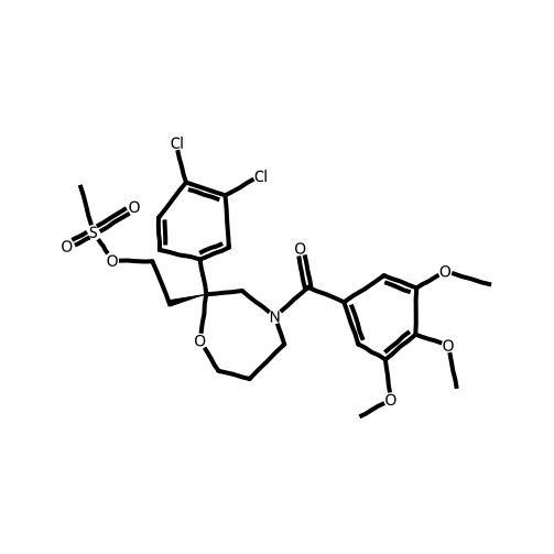 COc1cc(C(=O)N2CCCO[C@](CCOS(C)(=O)=O)(c3ccc(Cl)c(Cl)c3)C2)cc(OC)c1OC